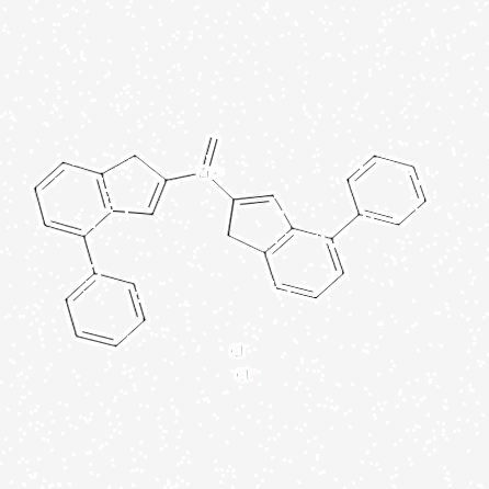 [CH2]=[Zr+2]([C]1=Cc2c(cccc2-c2ccccc2)C1)[C]1=Cc2c(cccc2-c2ccccc2)C1.[Cl-].[Cl-]